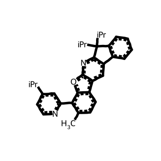 Cc1ccc2c(oc3nc4c(cc32)-c2ccccc2C4(C(C)C)C(C)C)c1-c1cc(C(C)C)ccn1